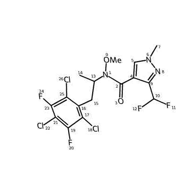 CON(C(=O)c1cn(C)nc1C(F)F)C(C)Cc1c(Cl)c(F)c(Cl)c(F)c1Cl